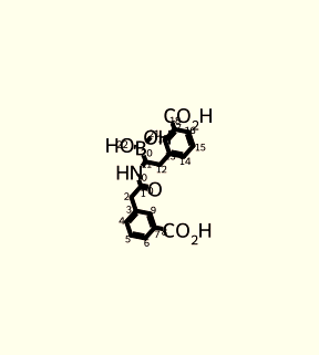 O=C(Cc1cccc(C(=O)O)c1)NC(Cc1cccc(C(=O)O)c1)B(O)O